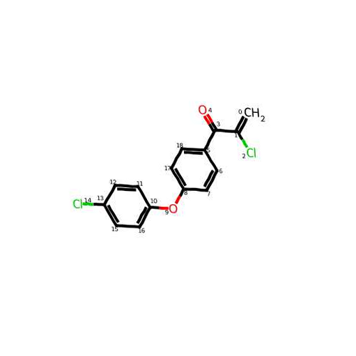 C=C(Cl)C(=O)c1ccc(Oc2ccc(Cl)cc2)cc1